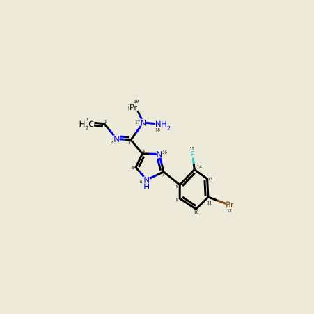 C=C/N=C(/c1c[nH]c(-c2ccc(Br)cc2F)n1)N(N)C(C)C